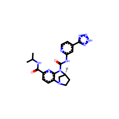 CC(C)NC(=O)c1ccc2c(n1)N(C(=O)Nc1cc(-c3nn[nH]n3)ccn1)[C@H]1CCN2C1